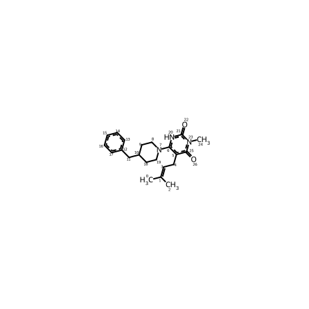 CC(C)=CCc1c(N2CCC(Cc3ccccc3)CC2)[nH]c(=O)n(C)c1=O